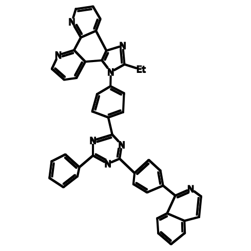 CCc1nc2c3cccnc3c3ncccc3c2n1-c1ccc(-c2nc(-c3ccccc3)nc(-c3ccc(-c4nccc5ccccc45)cc3)n2)cc1